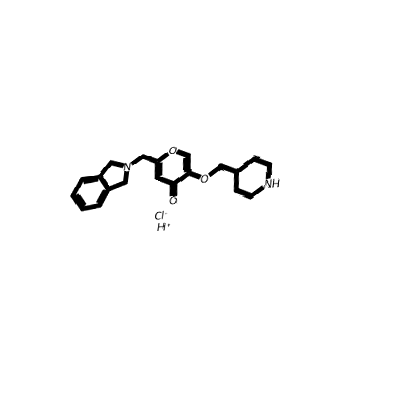 O=c1cc(CN2Cc3ccccc3C2)occ1OCC1CCNCC1.[Cl-].[H+]